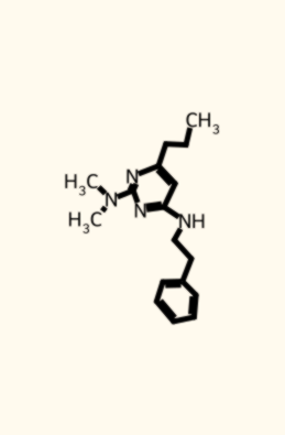 CCCc1cc(NCCc2ccccc2)nc(N(C)C)n1